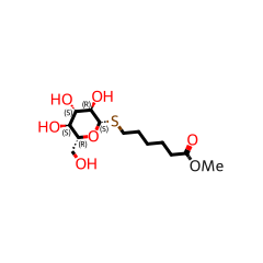 COC(=O)CCCCCS[C@@H]1O[C@H](CO)[C@@H](O)[C@H](O)[C@H]1O